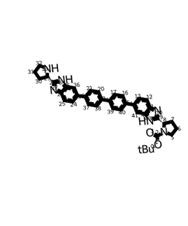 CC(C)(C)OC(=O)N1CCC[C@H]1c1nc2ccc(-c3ccc(-c4ccc(-c5ccc6nc([C@@H]7CCCN7)[nH]c6c5)cc4)cc3)cc2[nH]1